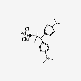 CN(C)c1ccc(C(c2ccc(N(C)C)cc2)C(C)(C)PC(C)(C)C)cc1.[Cl][Pd][Cl]